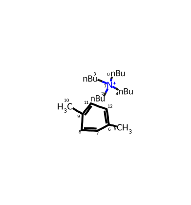 CCCC[N+](CCCC)(CCCC)CCCC.Cc1ccc(C)cc1